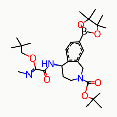 C/N=C(\OCC(C)(C)C)C(=O)N[C@@H]1CCN(C(=O)OC(C)(C)C)Cc2cc(B3OC(C)(C)C(C)(C)O3)ccc21